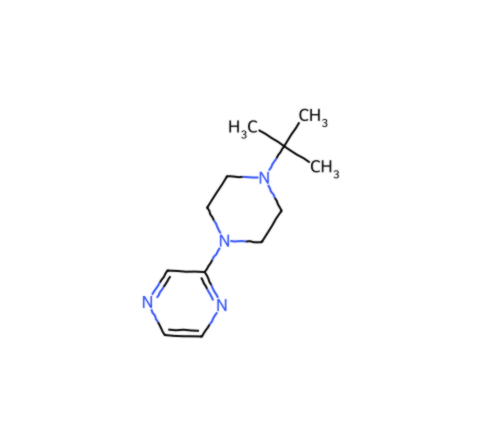 CC(C)(C)N1CCN(c2cnccn2)CC1